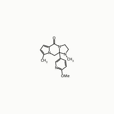 COc1ccc(C23Cn4c(C)ccc4C(=O)N2CCN3C)cn1